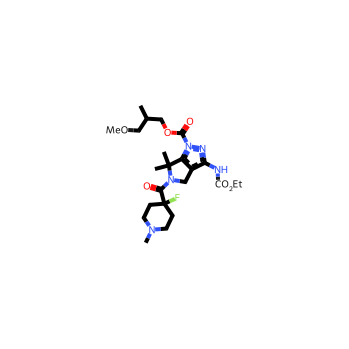 CCOC(=O)Nc1nn(C(=O)OCC(C)COC)c2c1CN(C(=O)C1(F)CCN(C)CC1)C2(C)C